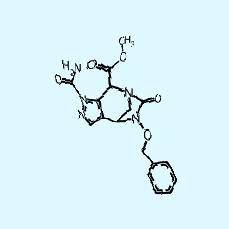 COC(=O)C1c2c(cnn2C(N)=O)C2CN1C(=O)N2OCc1ccccc1